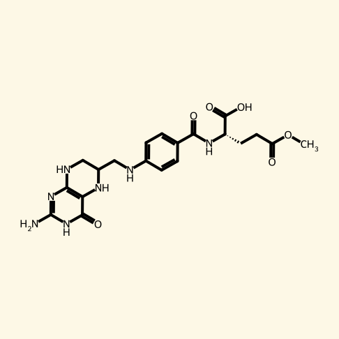 COC(=O)CC[C@H](NC(=O)c1ccc(NCC2CNc3nc(N)[nH]c(=O)c3N2)cc1)C(=O)O